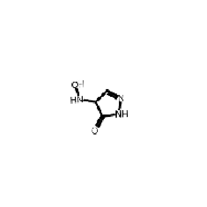 O=C1NN=CC1NO